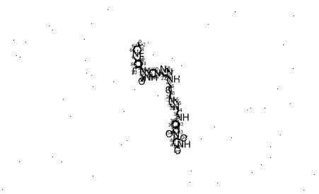 CC1(C)CCN(Cc2cc(F)c(N3CC(=O)NC4(CCN(c5cc(NCCOCCN6CCN(CCNc7ccc8c(c7)CN(C7CCC(=O)NC7=O)C8=O)CC6)ncn5)CC4)C3)cc2F)CC1